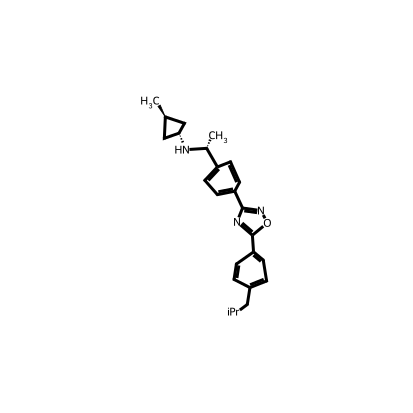 CC(C)Cc1ccc(-c2nc(-c3ccc([C@@H](C)N[C@H]4C[C@H](C)C4)cc3)no2)cc1